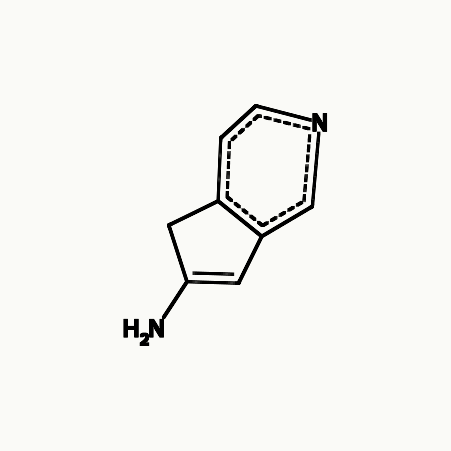 NC1=Cc2cnccc2C1